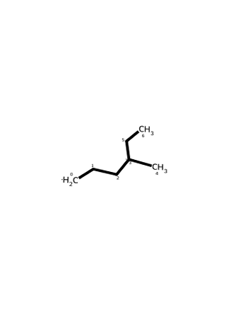 [CH2]CC[C](C)CC